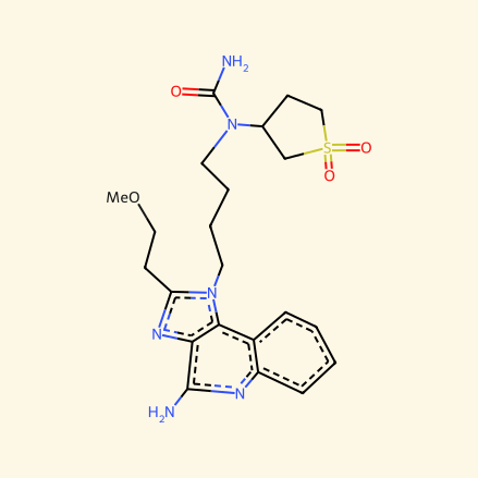 COCCc1nc2c(N)nc3ccccc3c2n1CCCCN(C(N)=O)C1CCS(=O)(=O)C1